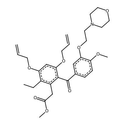 C=CCOc1cc(OCC=C)c(C(=O)c2ccc(OC)c(OCCN3CCOCC3)c2)c(CC(=O)OC)c1CC